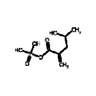 C=C(CC(C)O)C(=O)OP(=O)(O)O